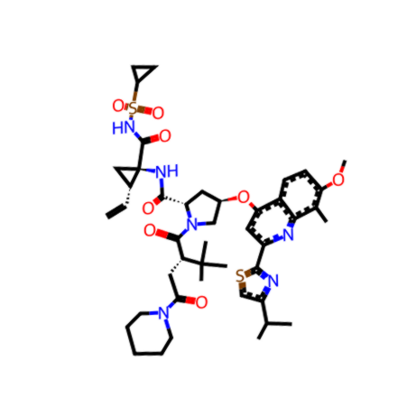 C=C[C@@H]1C[C@]1(NC(=O)[C@@H]1C[C@@H](Oc2cc(-c3nc(C(C)C)cs3)nc3c(C)c(OC)ccc23)CN1C(=O)[C@@H](CC(=O)N1CCCCC1)C(C)(C)C)C(=O)NS(=O)(=O)C1CC1